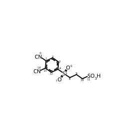 [C-]#[N+]c1ccc(S(=O)(=O)CCCS(=O)(=O)O)cc1[N+]#[C-]